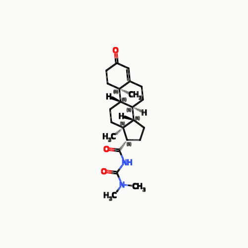 CN(C)C(=O)NC(=O)[C@H]1CC[C@H]2[C@@H]3CCC4=CC(=O)CC[C@]4(C)[C@H]3CC[C@]12C